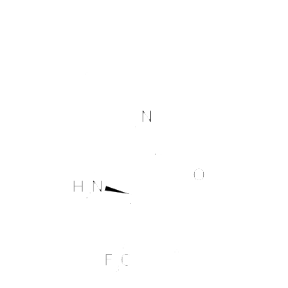 CC([C@@H](N)C(=O)N1CCCCC1)C(F)(F)F